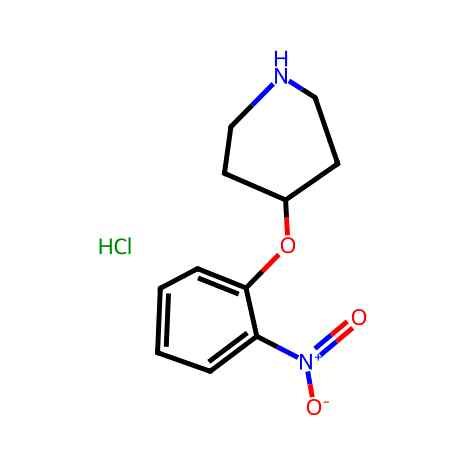 Cl.O=[N+]([O-])c1ccccc1OC1CCNCC1